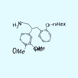 CCCCCCOc1ccccc1CC(CN)c1ccc(OC)c(OC)c1.Cl